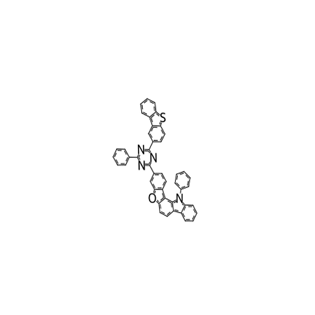 c1ccc(-c2nc(-c3ccc4c(c3)oc3ccc5c6ccccc6n(-c6ccccc6)c5c34)nc(-c3ccc4sc5ccccc5c4c3)n2)cc1